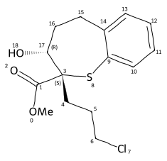 COC(=O)[C@@]1(CCCCl)Sc2ccccc2CC[C@H]1O